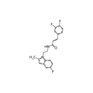 Cc1cc2cc(F)ccc2n1CCNC(=O)C=Cc1ccc(F)c(F)c1